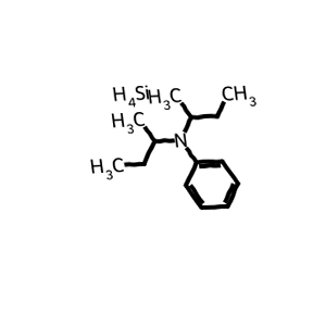 CCC(C)N(c1ccccc1)C(C)CC.[SiH4]